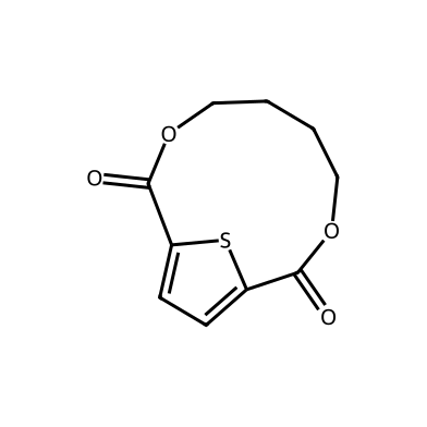 O=C1OCCCCOC(=O)c2ccc1s2